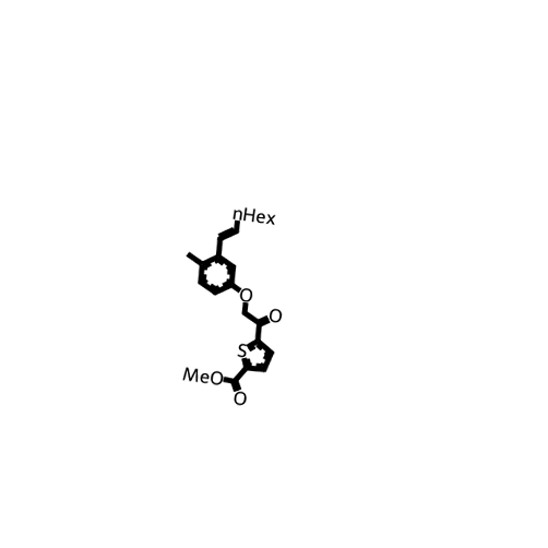 CCCCCC/C=C/c1cc(OCC(=O)c2ccc(C(=O)OC)s2)ccc1C